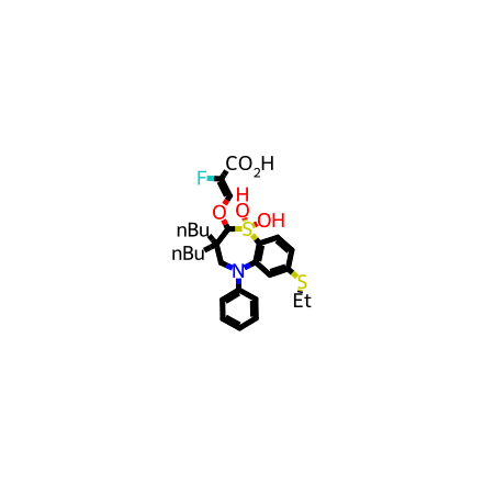 CCCCC1(CCCC)CN(c2ccccc2)c2cc(SCC)ccc2S(O)(O)C1O/C=C(\F)C(=O)O